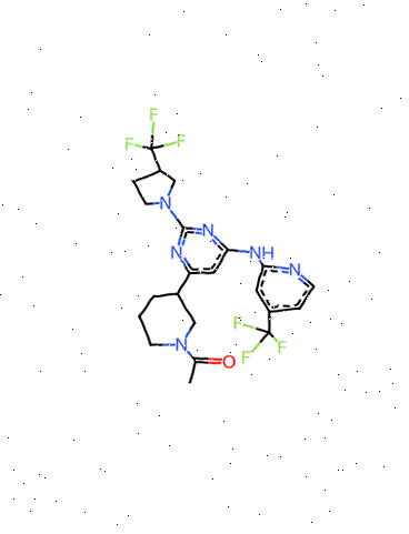 CC(=O)N1CCCC(c2cc(Nc3cc(C(F)(F)F)ccn3)nc(N3CCC(C(F)(F)F)C3)n2)C1